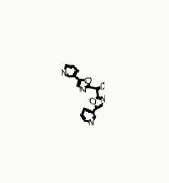 O=C(c1ncc(-c2cccnc2)o1)c1ncc(-c2cccnc2)o1